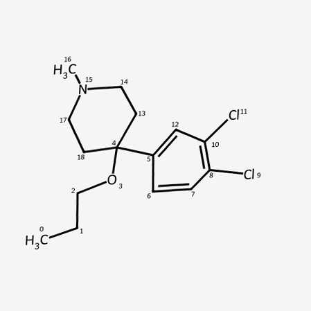 CCCOC1(c2ccc(Cl)c(Cl)c2)CCN(C)CC1